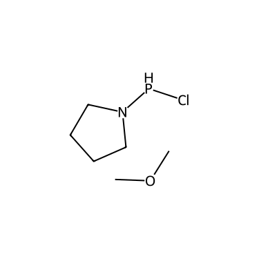 COC.ClPN1CCCC1